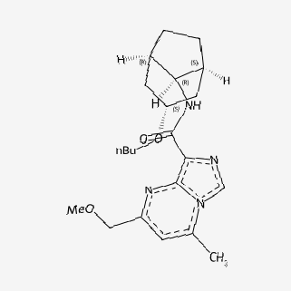 CCCCO[C@@H]1C[C@H]2CC[C@@H](C1)[C@H]2NC(=O)c1ncn2c(C)cc(COC)nc12